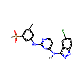 CCN(c1ccnc(Nc2cc(C)cc(S(C)(=O)=O)c2)n1)c1n[nH]c2ccc(F)cc12